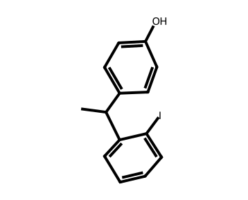 CC(c1ccc(O)cc1)c1ccccc1I